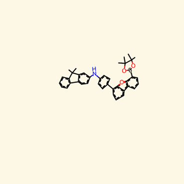 CC1(C)c2ccccc2-c2ccc(Nc3ccc(-c4cccc5c4oc4c(B6OC(C)(C)C(C)(C)O6)cccc45)cc3)cc21